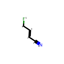 N#CC=[C]CF